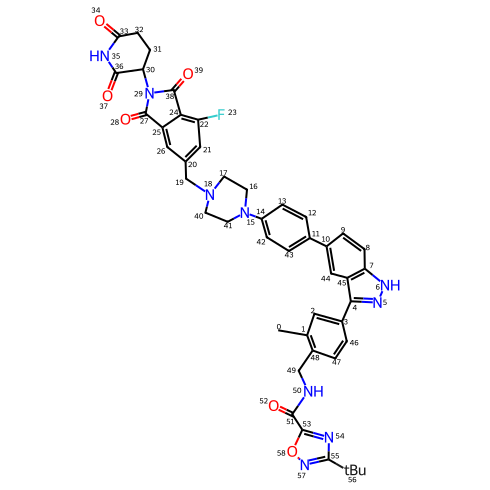 Cc1cc(-c2n[nH]c3ccc(-c4ccc(N5CCN(Cc6cc(F)c7c(c6)C(=O)N(C6CCC(=O)NC6=O)C7=O)CC5)cc4)cc23)ccc1CNC(=O)c1nc(C(C)(C)C)no1